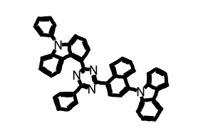 c1ccc(-c2nc(-c3ccc(-n4c5ccccc5c5ccccc54)c4ccccc34)nc(-c3cccc4c3c3ccccc3n4-c3ccccc3)n2)cc1